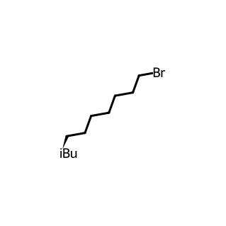 CC[C@H](C)CCCCCCCBr